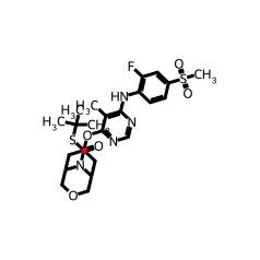 Cc1c(Nc2ccc(S(C)(=O)=O)cc2F)ncnc1OC1CC2COCC(C1)N2C(=O)SC(C)(C)C